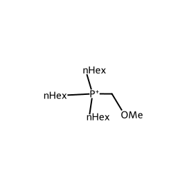 CCCCCC[P+](CCCCCC)(CCCCCC)COC